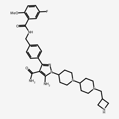 COc1ccc(F)cc1C(=O)NCc1ccc(-c2nn(C3CCN(C4CCN(CC5CNC5)CC4)CC3)c(N)c2C(N)=O)cc1